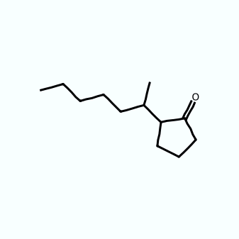 CCCCCC(C)C1CCCC1=O